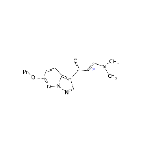 CC(C)Oc1ccc2c(C(=O)/C=C/N(C)C)cnn2n1